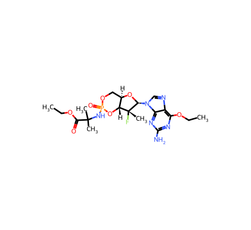 CCOC(=O)C(C)(C)NP1(=O)OC[C@H]2O[C@@H](n3cnc4c(OCC)nc(N)nc43)[C@](C)(F)[C@@H]2O1